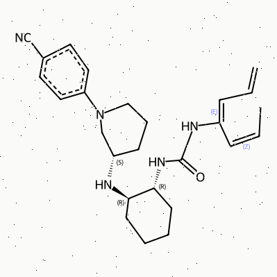 C=C/C=C(\C=C/C)NC(=O)N[C@@H]1CCCC[C@H]1N[C@H]1CCCN(c2ccc(C#N)cc2)C1